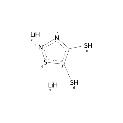 Sc1nnsc1S.[LiH].[LiH]